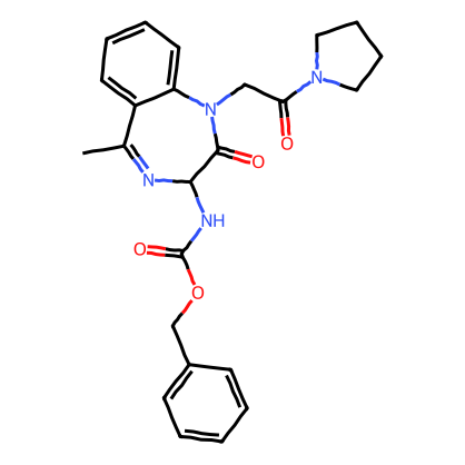 CC1=NC(NC(=O)OCc2ccccc2)C(=O)N(CC(=O)N2CCCC2)c2ccccc21